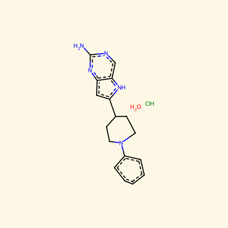 Cl.Nc1ncc2[nH]c(C3CCN(c4ccccc4)CC3)cc2n1.O